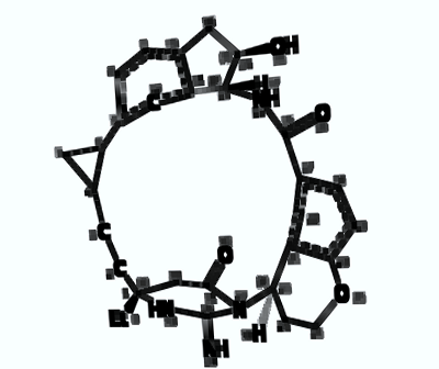 CC[C@]12CCC3CC3c3ccc4c(c3)[C@@H](NC(=O)c3ccc5c(c3)[C@@H](CCO5)N(C(=N)N1)C(=O)C2)[C@H](O)C4